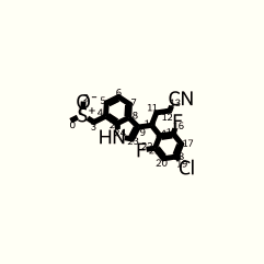 C[S+]([O-])Cc1cccc2c(C(CCC#N)c3c(F)cc(Cl)cc3F)c[nH]c12